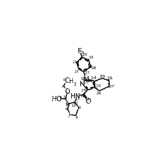 CCOC(O)[C@@H]1CCCC[C@@H]1NC(=O)c1nn(-c2ccc(F)cc2)c2c1CCCC2